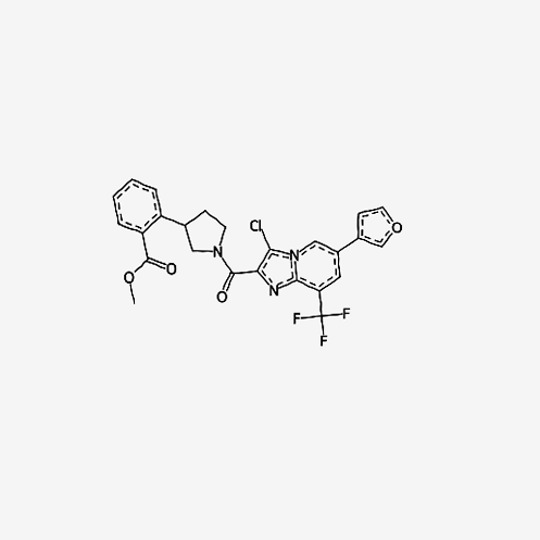 COC(=O)c1ccccc1C1CCN(C(=O)c2nc3c(C(F)(F)F)cc(-c4ccoc4)cn3c2Cl)C1